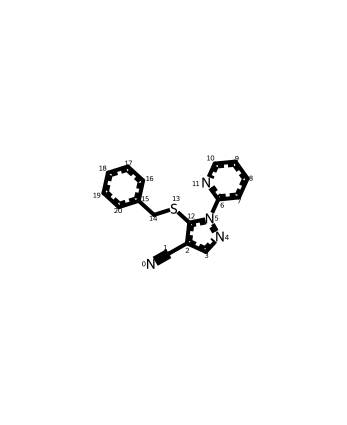 N#Cc1cnn(-c2ccccn2)c1SCc1ccccc1